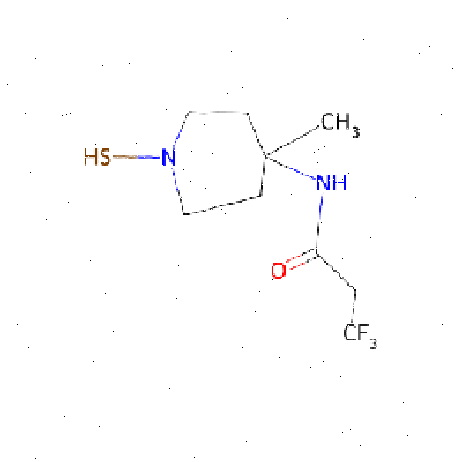 CC1(NC(=O)CC(F)(F)F)CCN(S)CC1